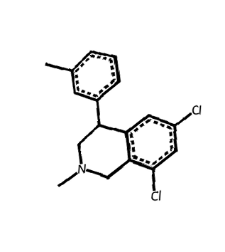 Cc1cccc(C2CN(C)Cc3c(Cl)cc(Cl)cc32)c1